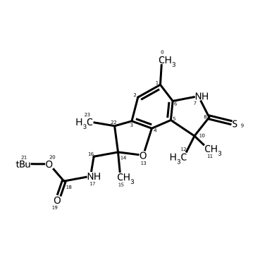 Cc1cc2c(c3c1NC(=S)C3(C)C)OC(C)(CNC(=O)OC(C)(C)C)C2C